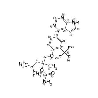 CC(C)CC(C)(COc1ccc(-c2ncnc3[nH]ccc23)cc1C(F)(F)F)OC(N)=O